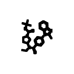 CCN(C(=O)c1ccc(-n2c(C)nc3ccccc32)cc1)C1CCN(C(=O)OC(C)(C)C)C1